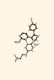 COc1nccc(-c2c(-c3ccc(F)cc3)ncn2C2CCC(OCCN(C)C)CC2)n1.Cl